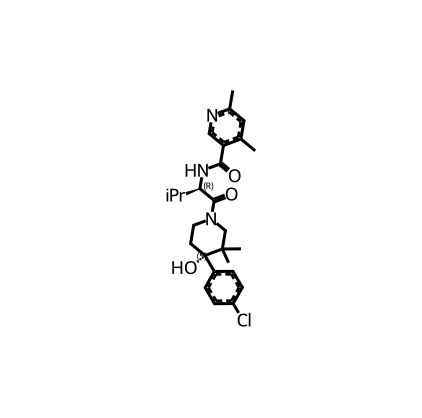 Cc1cc(C)c(C(=O)N[C@@H](C(=O)N2CC[C@](O)(c3ccc(Cl)cc3)C(C)(C)C2)C(C)C)cn1